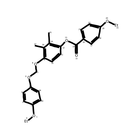 CCOc1ccc(OCOc2ccc(OC(=O)c3ccc(OCC)cc3)c(C)c2C)cc1